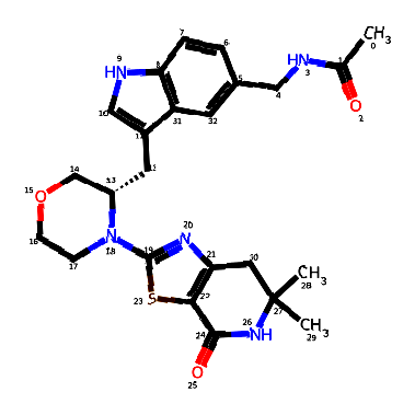 CC(=O)NCc1ccc2[nH]cc(C[C@H]3COCCN3c3nc4c(s3)C(=O)NC(C)(C)C4)c2c1